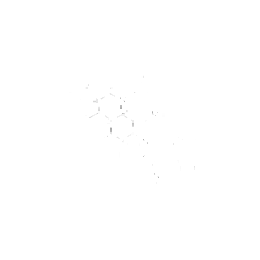 COc1c(N2C[C@@H](N)[C@@H](C)[C@@H](C)C2)c(F)cc2c(=O)c(C(=O)O)cn(C3CC3)c12